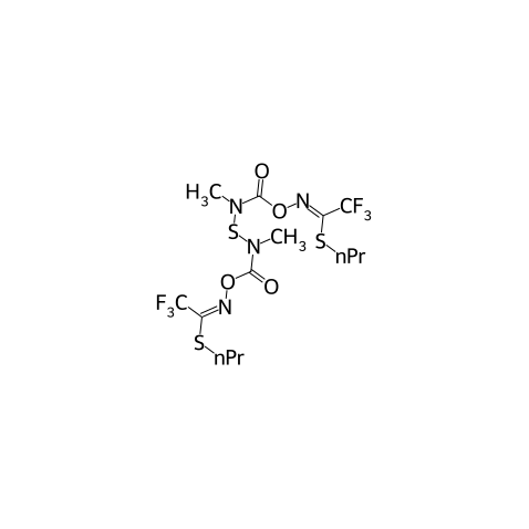 CCCSC(=NOC(=O)N(C)SN(C)C(=O)ON=C(SCCC)C(F)(F)F)C(F)(F)F